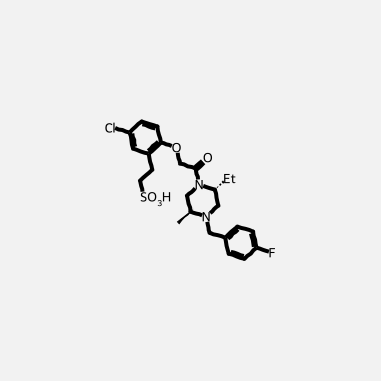 CC[C@@H]1CN(Cc2ccc(F)cc2)[C@@H](C)CN1C(=O)COc1ccc(Cl)cc1CCS(=O)(=O)O